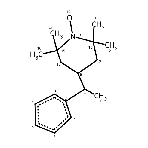 CC(c1ccccc1)C1CC(C)(C)N([O])C(C)(C)C1